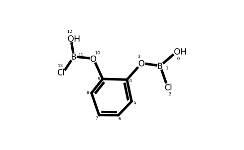 OB(Cl)Oc1ccccc1OB(O)Cl